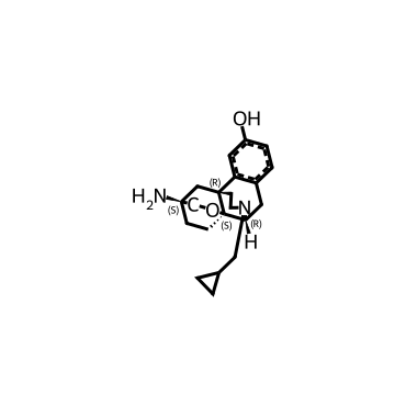 N[C@]12CC[C@@]3(OC1)[C@H]1Cc4ccc(O)cc4[C@@]3(CCN1CC1CC1)C2